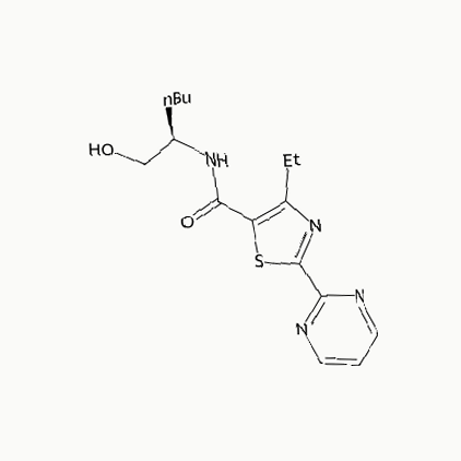 CCCC[C@H](CO)NC(=O)c1sc(-c2ncccn2)nc1CC